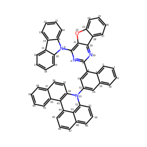 c1ccc2c(-c3nc(-n4c5ccccc5c5ccccc54)c4oc5ccccc5c4n3)cc(N3c4ccc5ccccc5c4-c4cccc5cccc3c45)cc2c1